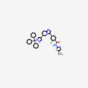 Cc1cnc(NC(=O)c2ccc(-c3cnc4ccc(-c5cnn(C(c6ccccc6)(c6ccccc6)c6ccccc6)c5)cn34)cc2F)s1